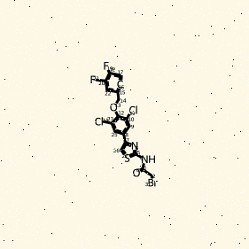 O=C(CBr)Nc1nc(-c2cc(Cl)c(OCc3ccc(F)c(F)c3)c(Cl)c2)cs1